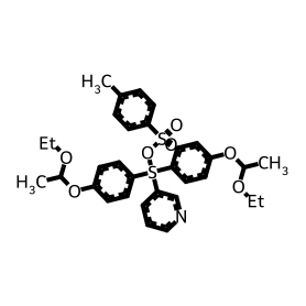 CCOC(C)Oc1ccc(S(OS(=O)(=O)c2ccc(C)cc2)(c2ccc(OC(C)OCC)cc2)c2cccnc2)cc1